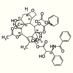 CC(=O)O[C@H]1C(=O)[C@@]2(C)C(C(OC(=O)c3ccccc3)[C@]3(O)CC(OC(=O)C(O)[C@@H](NC(=O)c4ccccc4)c4ccccc4)C(C)=C1C3(C)C)[C@]1(OC(C)=O)CO[C@@H]1C[C@@H]2O